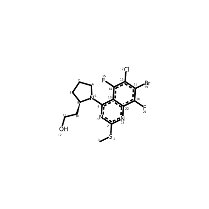 CSc1nc(N2CCC[C@@H]2CCO)c2c(F)c(Cl)c(Br)c(F)c2n1